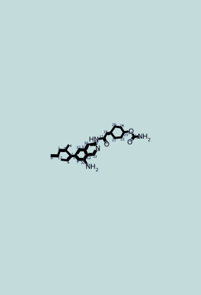 C=C/C=C(C)\C(=C/C)c1cc(N)c2cnc(NC(=O)C=C3CCC(OC(N)=O)CC3)cc2c1